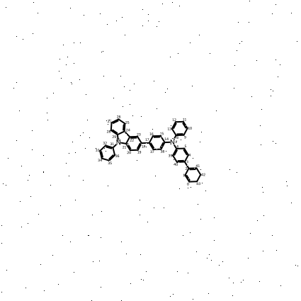 C1=CC(c2ccc(N(c3ccccc3)c3ccc(-c4ccc5c(c4)c4ccccc4n5-c4ccccc4)cc3)cc2)=CCC1